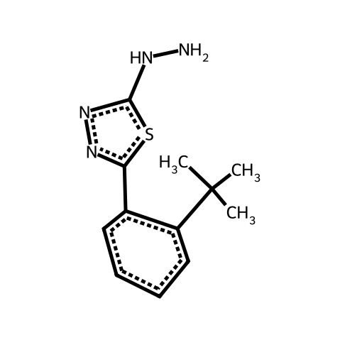 CC(C)(C)c1ccccc1-c1nnc(NN)s1